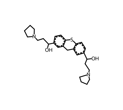 OC(CCN1CCCC1)c1ccc2c(c1)Cc1cc(C(O)CCN3CCCC3)ccc1S2